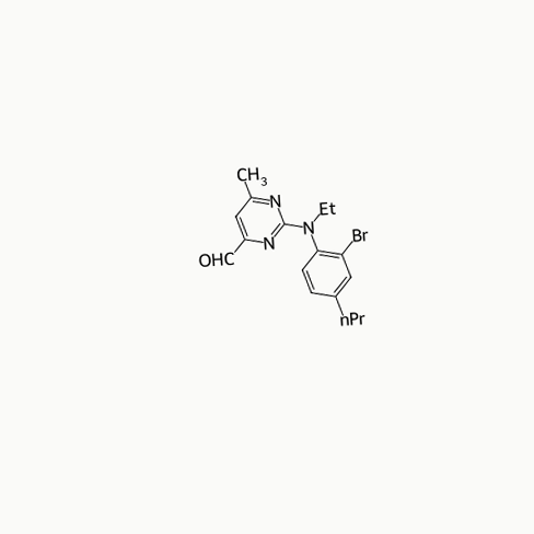 CCCc1ccc(N(CC)c2nc(C)cc(C=O)n2)c(Br)c1